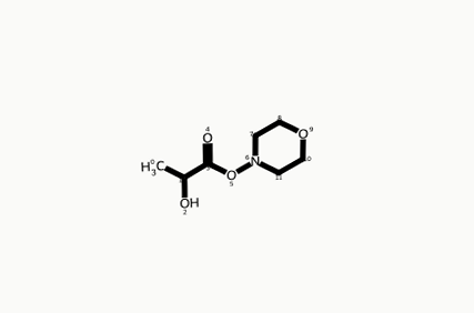 CC(O)C(=O)ON1CCOCC1